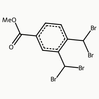 COC(=O)c1ccc(C(Br)Br)c(C(Br)Br)c1